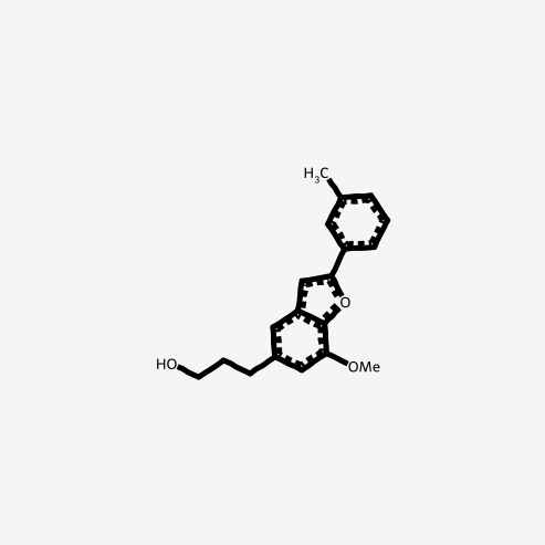 COc1cc(CCCO)cc2cc(-c3cccc(C)c3)oc12